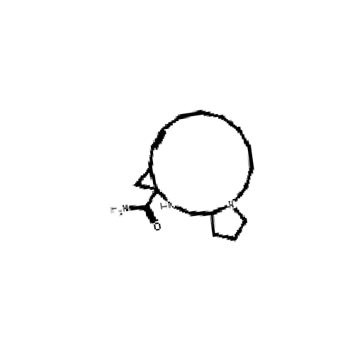 NC(=O)C12CC1C=CCCCCCCCN1CCCC1CN2